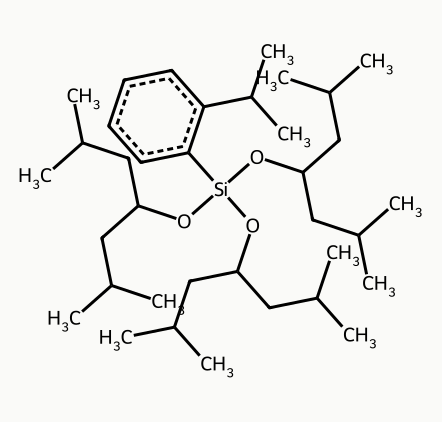 CC(C)CC(CC(C)C)O[Si](OC(CC(C)C)CC(C)C)(OC(CC(C)C)CC(C)C)c1ccccc1C(C)C